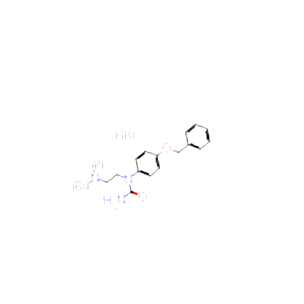 Br.CCC(C)N(CCN(C(N)=O)c1ccc(OCc2ccccc2)cc1)C(C)C